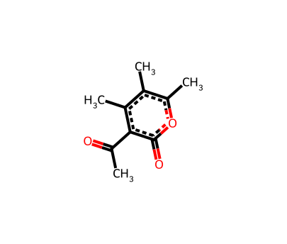 CC(=O)c1c(C)c(C)c(C)oc1=O